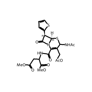 COC(=O)CC(NC(=O)C1=C(COC(C)=O)C(NC(C)=O)S[C@@H]2[C@H](c3cccs3)C(=O)N12)C(=O)OC